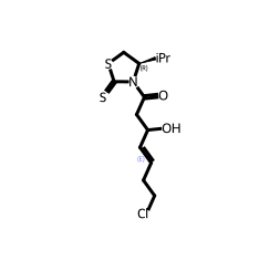 CC(C)[C@@H]1CSC(=S)N1C(=O)CC(O)/C=C/CCCl